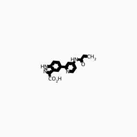 C=CC(=O)Nc1ccnc(-c2ccc3[nH]nc(C(=O)O)c3c2)c1